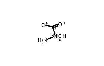 Cl.NNC(=O)Cl